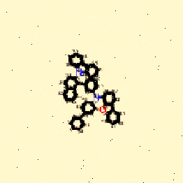 c1ccc(-c2ccc(N(c3cccc(-c4c(-n5c6ccccc6c6ccccc65)ccc5ccccc45)c3)c3cccc4c3oc3ccccc34)cc2)cc1